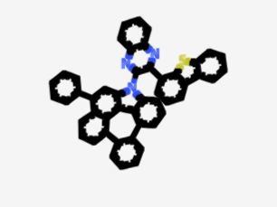 c1ccc(-c2cc3c4c5c(cccc25)-c2ccccc2-c2cccc(c24)n3-c2nc3ccccc3nc2-c2cccc3c2sc2ccccc23)cc1